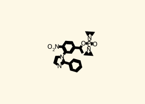 CC(OP(=O)(N1CC1)N1CC1)c1ccc([N+](=O)[O-])c(-n2ccnc2-c2ccccc2)c1